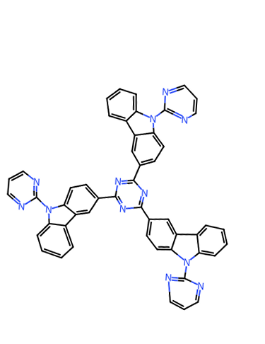 c1cnc(-n2c3ccccc3c3cc(-c4nc(-c5ccc6c(c5)c5ccccc5n6-c5ncccn5)nc(-c5ccc6c(c5)c5ccccc5n6-c5ncccn5)n4)ccc32)nc1